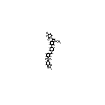 Cn1nc(N2CCC(=O)NC2=O)c2ccc(C3CCN(Cc4cccc(S(=O)(=O)N5CC[C@H](N)[C@H](F)C5)c4)CC3)cc21